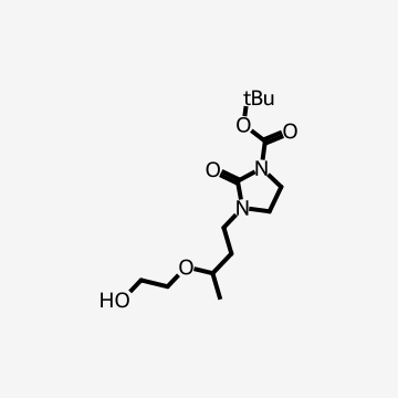 CC(CCN1CCN(C(=O)OC(C)(C)C)C1=O)OCCO